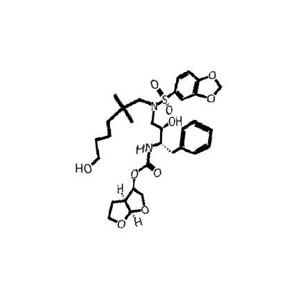 CC(C)(CCCCO)CN(C[C@@H](O)[C@H](Cc1ccccc1)NC(=O)O[C@H]1CO[C@H]2OCC[C@H]21)S(=O)(=O)c1ccc2c(c1)OCO2